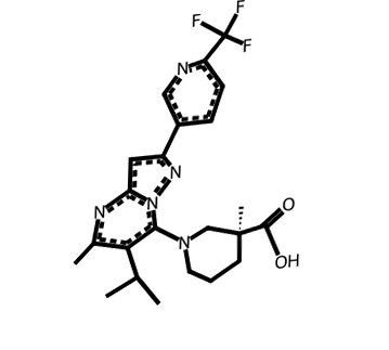 Cc1nc2cc(-c3ccc(C(F)(F)F)nc3)nn2c(N2CCC[C@](C)(C(=O)O)C2)c1C(C)C